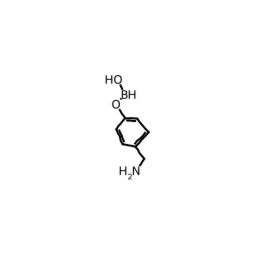 NCc1ccc(OBO)cc1